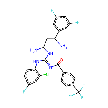 NC(CC(N)c1cc(F)cc(F)c1)N/C(=N\C(=O)c1ccc(C(F)(F)F)cc1)Nc1ccc(F)cc1Cl